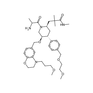 CNC(=O)C(C)(C)C[C@H]1C[C@H](c2ccc(COCCOC)cc2)[C@@H](OCc2ccc3c(c2)N(CCCOC)CCO3)CN1C(=O)C(C)N